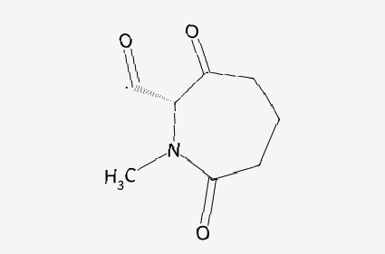 CN1C(=O)CCCC(=O)[C@H]1[C]=O